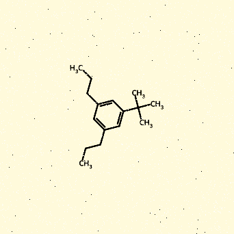 CCCc1cc(CCC)cc(C(C)(C)C)c1